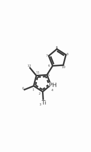 Cc1[c]([Ti])[pH]c(C2=CC=CC2)c1C